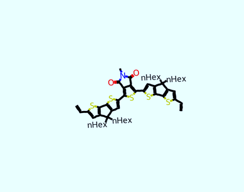 C=Cc1cc2c(s1)-c1sc(-c3sc(-c4cc5c(s4)-c4sc(C=C)cc4C5(CCCCCC)CCCCCC)c4c3C(=O)N(C)C4=O)cc1C2(CCCCCC)CCCCCC